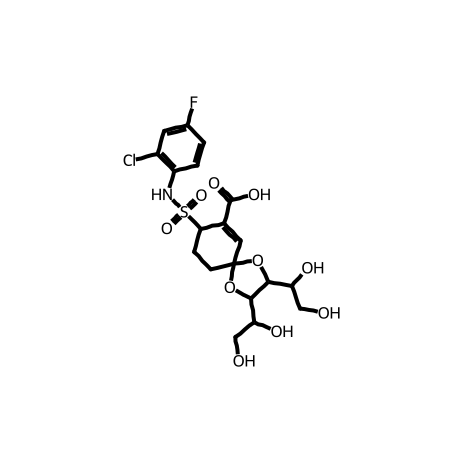 O=C(O)C1=CC2(CCC1S(=O)(=O)Nc1ccc(F)cc1Cl)OC(C(O)CO)C(C(O)CO)O2